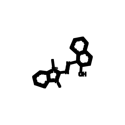 Cn1c(/N=N/c2c(O)ccc3ccccc23)[n+](C)c2ccccc21